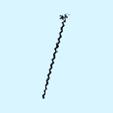 CCCCCCCCCCCCCCCCCCCCCCCCCCCCCCC[N+](=O)[O-]